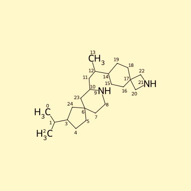 CC(C)C1CCC2(CCNC(CC(C)C3CCC4(CC3)CNC4)C2)C1